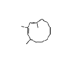 C[C]1/C=C(C)\C=C(/C)CCCCCCC1